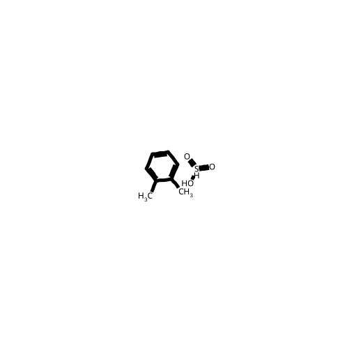 Cc1ccccc1C.O=[SH](=O)O